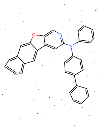 c1ccc(-c2ccc(N(c3ccccc3)c3cc4c(cn3)oc3cc5ccccc5cc34)cc2)cc1